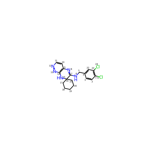 Clc1ccc(CNC2=Nc3ccnnc3NC23CCCCC3)cc1Cl